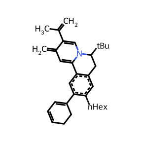 C=C(C)C1=CN2C(=CC1=C)c1cc(C3=CC=CCC3)c(CCCCCC)cc1CC2C(C)(C)C